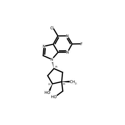 C[C@]1(CO)C[C@@H](n2cnc3c(Cl)nc(F)nc32)C[C@@H]1O